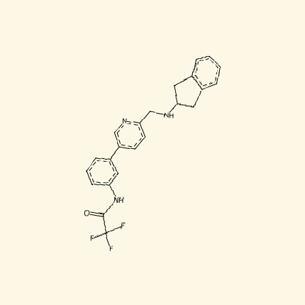 O=C(Nc1cccc(-c2ccc(CNC3Cc4ccccc4C3)nc2)c1)C(F)(F)F